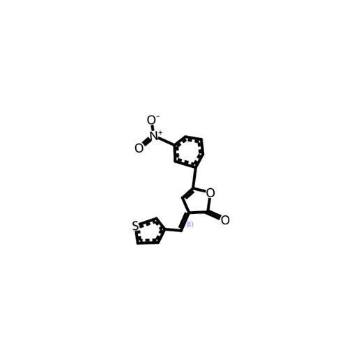 O=C1OC(c2cccc([N+](=O)[O-])c2)=C/C1=C\c1ccsc1